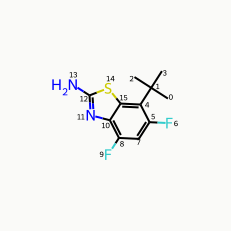 CC(C)(C)c1c(F)cc(F)c2nc(N)sc12